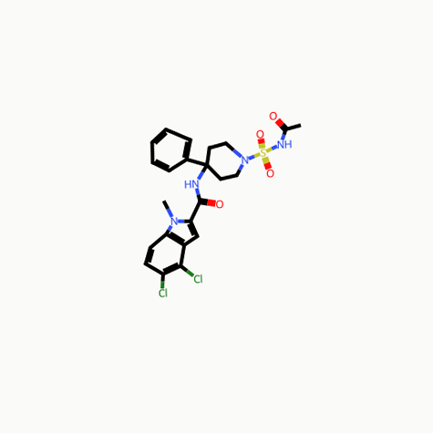 CC(=O)NS(=O)(=O)N1CCC(NC(=O)c2cc3c(Cl)c(Cl)ccc3n2C)(c2ccccc2)CC1